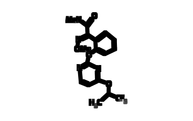 CNC(=O)/C(=N/OC)c1ccccc1Oc1nccc(OC(C)C(F)(F)F)n1